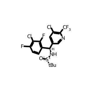 CC(C)(C)[S@@+]([O-])N[C@H](c1cnc(C(F)(F)F)c(Cl)c1)c1ccc(F)c(Cl)c1F